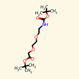 CC(C)(C)OC(=O)COCCOCCNC(=O)OC(C)(C)C